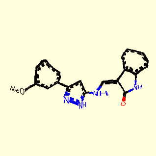 COc1cccc(-c2cc(NC=C3C(=O)Nc4ccccc43)[nH]n2)c1